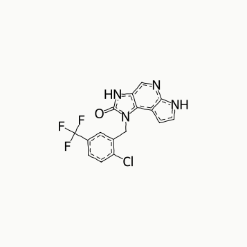 O=c1[nH]c2cnc3[nH]ccc3c2n1Cc1cc(C(F)(F)F)ccc1Cl